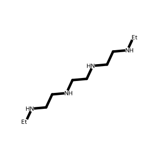 [CH2]CNCCNCCNCCNCC